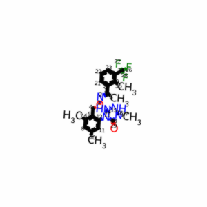 CC(=NOCc1c(C)cc(C)cc1N1NNN(C)C1=O)c1cccc(C(F)(F)F)c1C